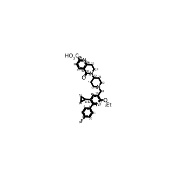 CCOc1nc(-c2ccc(F)cc2)c(C2CC2)cc1CN1CCC(N2CCc3nc(C(=O)O)ccc3C2=O)CC1